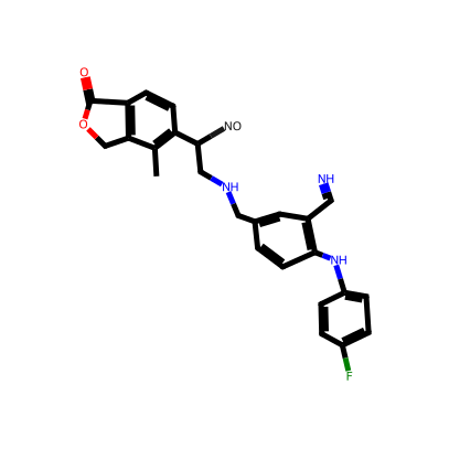 Cc1c(C(CNCc2ccc(Nc3ccc(F)cc3)c(C=N)c2)N=O)ccc2c1COC2=O